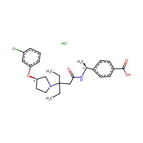 CCC(CC)(CC(=O)N[C@@H](C)c1ccc(C(=O)O)cc1)N1CC[C@@H](Oc2cccc(Cl)c2)C1.Cl